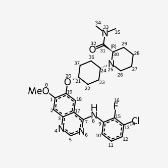 COc1cc2ncnc(Nc3cccc(Cl)c3F)c2cc1O[C@H]1CC[C@@H](N2CCCC[C@@H]2C(=O)N(C)C)CC1